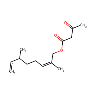 C=CC(C)CCC=C(C)COC(=O)CC(C)=O